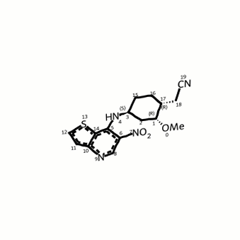 CO[C@@H]1C[C@@H](Nc2c([N+](=O)[O-])cnc3ccsc23)CC[C@@H]1CC#N